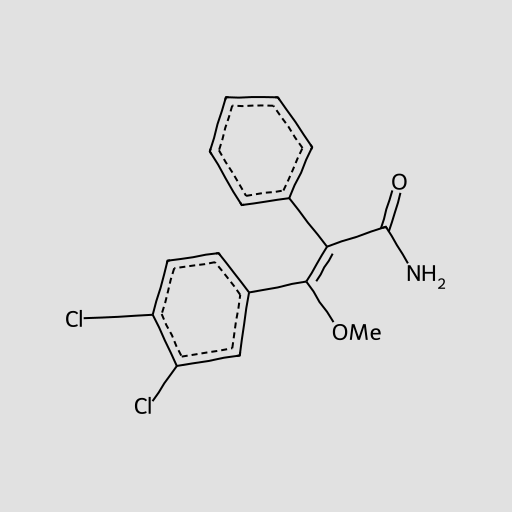 COC(=C(C(N)=O)c1ccccc1)c1ccc(Cl)c(Cl)c1